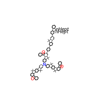 CCCCCCCC1(CCCCCCC)c2ccccc2-c2ccc(C3=CC4C(C=C3)c3ccc(-c5ccc(C6=CC7C(c8ccc(N(c9ccc%10c(c9)C(C)(C)c9cc%11c(cc9-%10)C(C)(C)c9ccc%10oc%12ccccc%12c%10c9-%11)C9C=C%10C(=CC9)c9cc%11c(cc9C%10(C)C)-c9c(ccc%10oc%12ccccc%12c9%10)C%11(C)C)cc8C7(C)C)c7c6oc6ccccc76)cc5)cc3C4(C)C)cc21